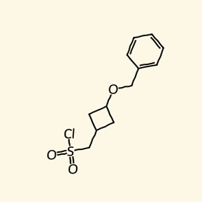 O=S(=O)(Cl)CC1CC(OCc2ccccc2)C1